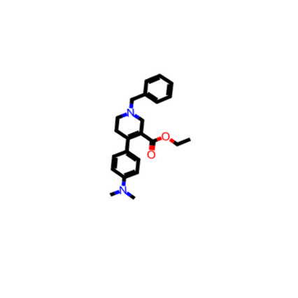 CCOC(=O)C1=C(c2ccc(N(C)C)cc2)CCN(Cc2ccccc2)C1